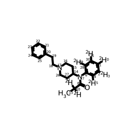 [2H]c1c([2H])c([2H])c(N(C(=O)C([2H])([2H])C)C2CCN(CCc3ccccc3)CC2)c([2H])c1[2H]